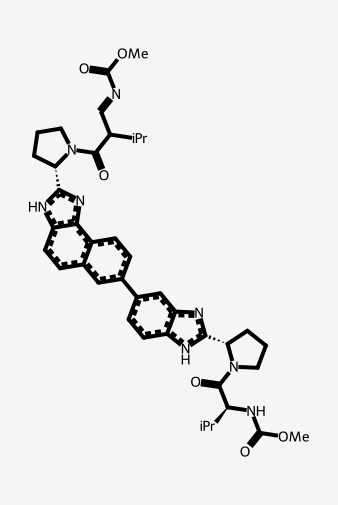 COC(=O)/N=C/C(C(=O)N1CCC[C@H]1c1nc2c(ccc3cc(-c4ccc5[nH]c([C@@H]6CCCN6C(=O)[C@@H](NC(=O)OC)C(C)C)nc5c4)ccc32)[nH]1)C(C)C